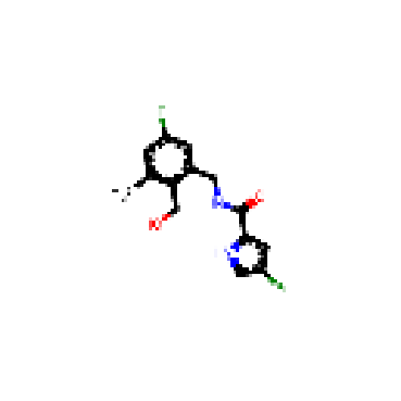 Cc1cc(F)cc(CNC(=O)c2cc(Br)c[nH]2)c1CO